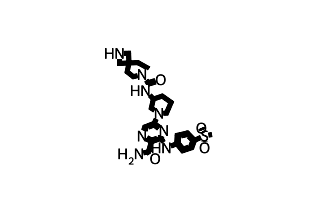 CS(=O)(=O)c1ccc(Nc2nc(N3CCCC(NC(=O)N4CCC5(CC4)CNC5)C3)cnc2C(N)=O)cc1